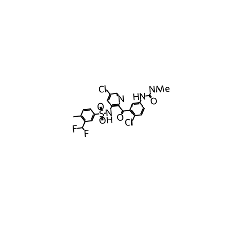 CNC(=O)Nc1ccc(Cl)c(C(=O)c2ncc(Cl)cc2NS(=O)(=O)c2ccc(C)c(C(F)F)c2)c1